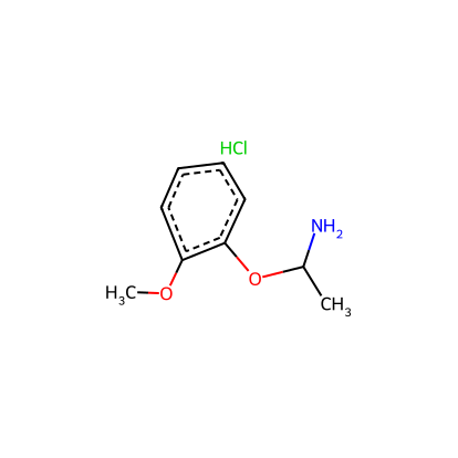 COc1ccccc1OC(C)N.Cl